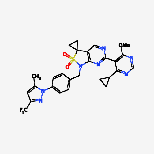 COc1ncnc(C2CC2)c1-c1ncc2c(n1)N(Cc1ccc(-n3nc(C(F)(F)F)cc3C)cc1)S(=O)(=O)C21CC1